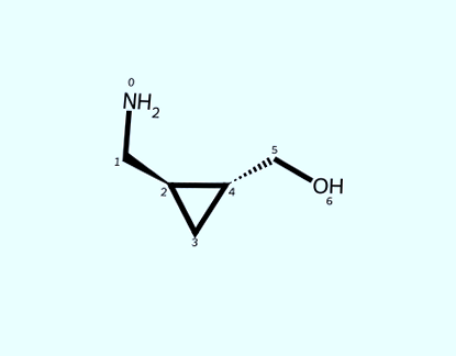 NC[C@@H]1C[C@H]1CO